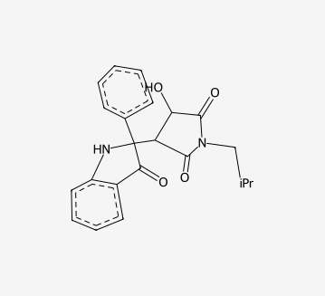 CC(C)CN1C(=O)C(O)C(C2(c3ccccc3)Nc3ccccc3C2=O)C1=O